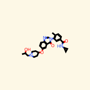 Cc1ccc(C(=O)NC2CC2)cc1-n1cnc2ccc(OC3CCN(CC(C)O)CC3)cc2c1=O